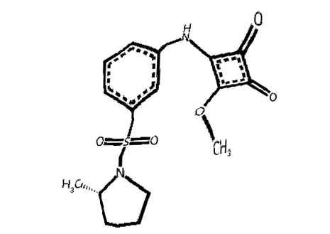 COc1c(Nc2cccc(S(=O)(=O)N3CCC[C@@H]3C)c2)c(=O)c1=O